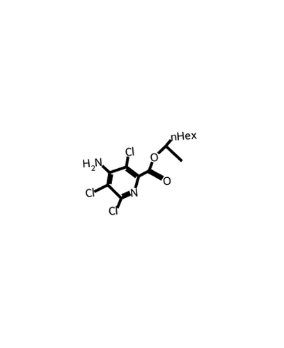 CCCCCCC(C)OC(=O)c1nc(Cl)c(Cl)c(N)c1Cl